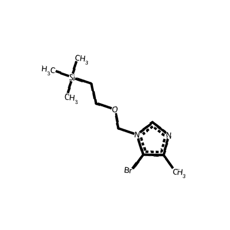 Cc1ncn(COCC[Si](C)(C)C)c1Br